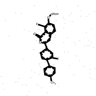 CCCCCCCCCOc1ccc2cc(-c3ccc(-c4ccc(C)cc4)c(F)c3)oc(=O)c2c1F